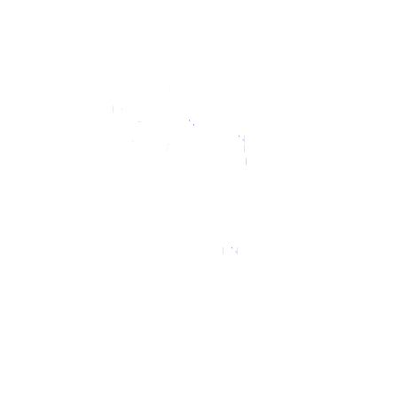 Cc1c(OCCNCCCF)ccc(F)c1C1c2[nH]c3ccccc3c2C[C@@H](C)N1CCC(=O)O